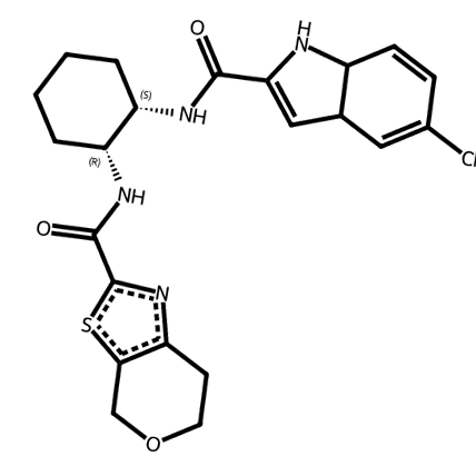 O=C(N[C@H]1CCCC[C@H]1NC(=O)c1nc2c(s1)COCC2)C1=CC2C=C(Cl)C=CC2N1